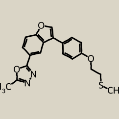 CSCCOc1ccc(-c2coc3ccc(-c4nnc(C)o4)cc23)cc1